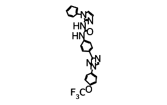 O=C(Nc1ccc(-c2ncn(-c3ccc(OC(F)(F)F)cc3)n2)cc1)Nc1nccn1-c1ccccc1